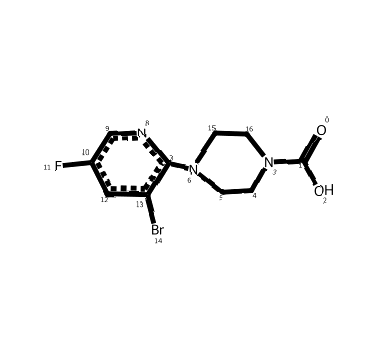 O=C(O)N1CCN(c2ncc(F)cc2Br)CC1